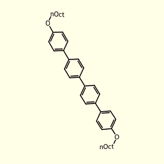 CCCCCCCCOc1ccc(-c2ccc(-c3ccc(-c4ccc(OCCCCCCCC)cc4)cc3)cc2)cc1